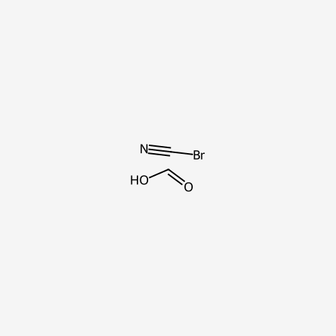 N#CBr.O=CO